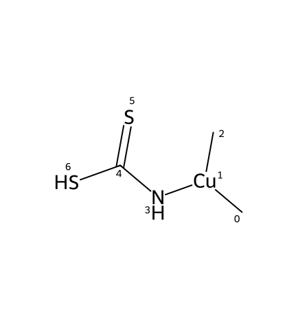 [CH3][Cu]([CH3])[NH]C(=S)S